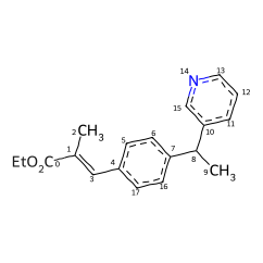 CCOC(=O)C(C)=Cc1ccc(C(C)c2cccnc2)cc1